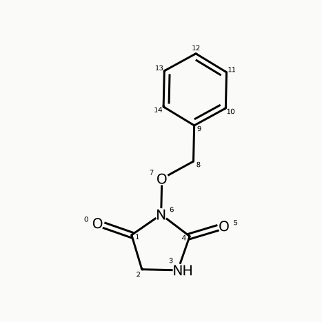 O=C1CNC(=O)N1OCc1ccccc1